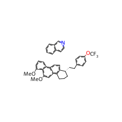 COc1cccc2c1c(OC)cc1c3c(ccc12)[C@H](CCc1ccc(OC(F)(F)F)cc1)CCC3.c1ccc2cnccc2c1